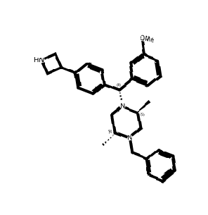 COc1cccc([C@@H](c2ccc(C3CNC3)cc2)N2C[C@@H](C)N(Cc3ccccc3)C[C@@H]2C)c1